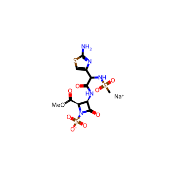 COC(=O)[C@H]1[C@@H](NC(=O)C(NS(C)(=O)=O)c2csc(N)n2)C(=O)N1S(=O)(=O)[O-].[Na+]